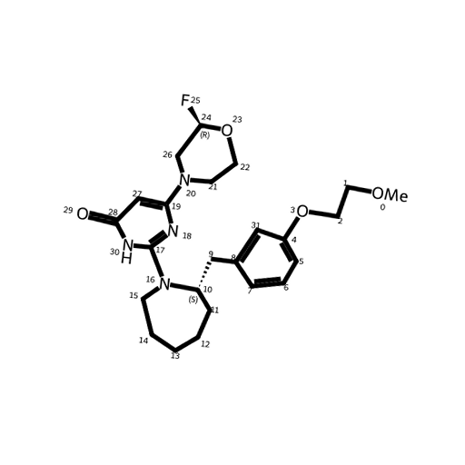 COCCOc1cccc(C[C@@H]2CCCCCN2c2nc(N3CCO[C@H](F)C3)cc(=O)[nH]2)c1